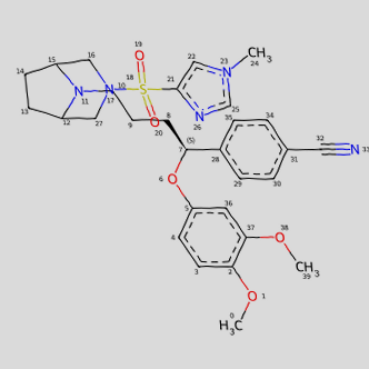 COc1ccc(O[C@@H](CCCN2C3CCC2CN(S(=O)(=O)c2cn(C)cn2)C3)c2ccc(C#N)cc2)cc1OC